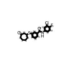 O=C1CCCCC(Sc2cccc(C(=O)Nc3ccc(F)c(Cl)c3)c2)C1